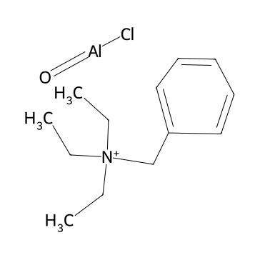 CC[N+](CC)(CC)Cc1ccccc1.[O]=[Al][Cl]